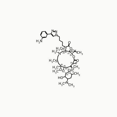 CC[C@H]1OC(=O)[C@@](C)(F)C(=O)[C@H](C)[C@@H](O[C@@H]2OC(C)CC(N(C)C)C2O)[C@](C)(OC)C[C@@H](C)CN(C)[C@H](C)[C@H]2N(CCCCn3cc(-c4cccc(N)c4)nn3)C(=O)O[C@]12C